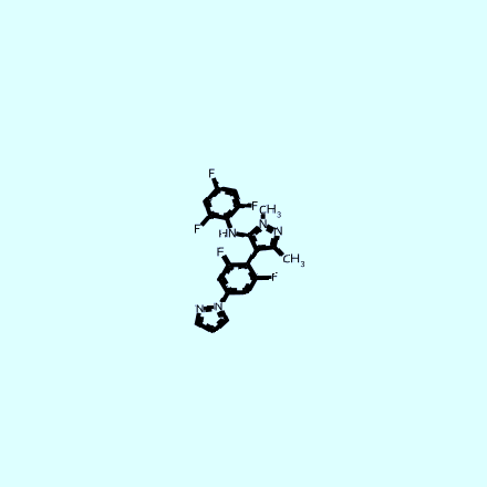 Cc1nn(C)c(Nc2c(F)cc(F)cc2F)c1-c1c(F)cc(-n2cccn2)cc1F